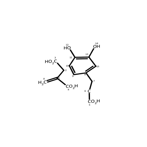 C=C(CC(=O)O)C(=O)O.O=C(O)CCc1ccc(O)c(O)c1